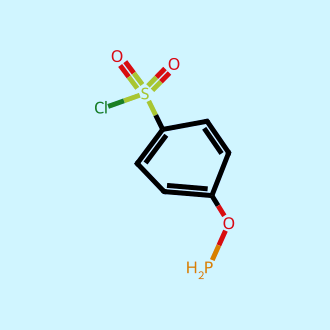 O=S(=O)(Cl)c1ccc(OP)cc1